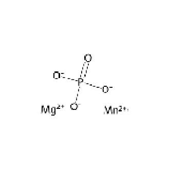 O=P([O-])([O-])[O-].[Mg+2].[Mn+2]